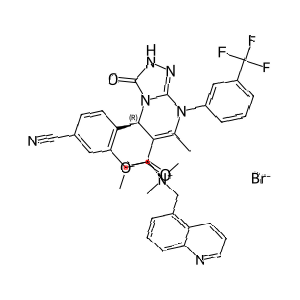 COC(=O)C1=C(C)N(c2cccc(C(F)(F)F)c2)c2n[nH]c(=O)n2[C@@H]1c1ccc(C#N)cc1CC[N+](C)(C)Cc1cccc2ncccc12.[Br-]